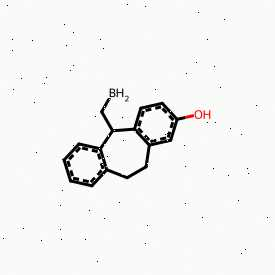 BCC1c2ccccc2CCc2cc(O)ccc21